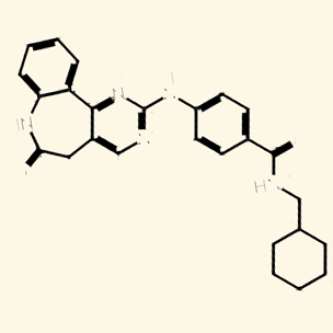 O=C1Cc2cnc(Nc3ccc(C(=O)NCC4CCCCC4)cc3)nc2-c2ccccc2N1